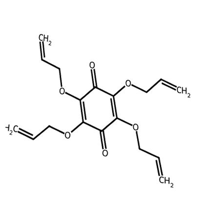 C=CCOC1=C(OCC=C)C(=O)C(OCC=C)=C(OCC=C)C1=O